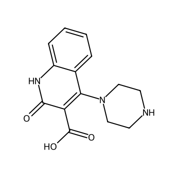 O=C(O)c1c(N2CCNCC2)c2ccccc2[nH]c1=O